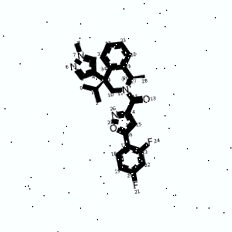 CC(C)[C@]1(c2cnn(C)c2)CN(C(=O)c2cc(-c3ccc(F)cc3F)on2)[C@H](C)c2ccccc21